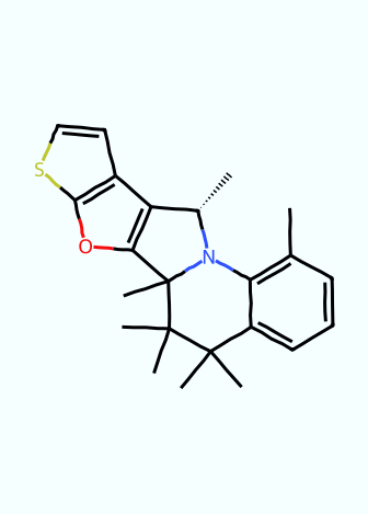 Cc1cccc2c1N1[C@@H](C)c3c(oc4sccc34)C1(C)C(C)(C)C2(C)C